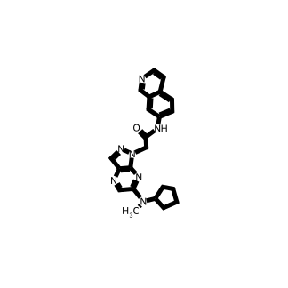 CN(c1cnc2cnn(CC(=O)Nc3ccc4ccncc4c3)c2n1)C1CCCC1